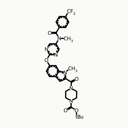 CN(C(=O)c1ccc(C(F)(F)F)cc1)c1cnc(Oc2ccc3cc(C(=O)N4CCN(C(=O)OC(C)(C)C)CC4)n(C)c3c2)nc1